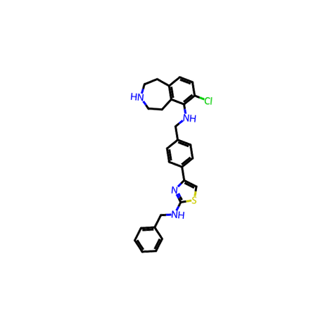 Clc1ccc2c(c1NCc1ccc(-c3csc(NCc4ccccc4)n3)cc1)CCNCC2